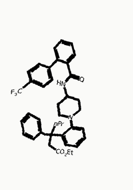 CCCC(CC(=O)OCC)(c1ccccc1)c1ccccc1N1CCC(NC(=O)c2ccccc2-c2ccc(C(F)(F)F)cc2)CC1